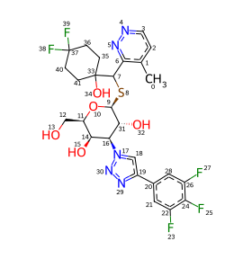 Cc1ccnnc1C(S[C@@H]1O[C@H](CO)[C@H](O)[C@H](n2cc(-c3cc(F)c(F)c(F)c3)nn2)[C@H]1O)C1(O)CCC(F)(F)CC1